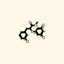 COC(=O)C(Cc1cccc(Cl)c1)Oc1cc(Cl)cc(Cl)c1